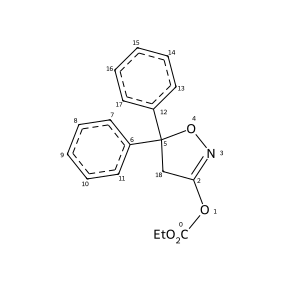 CCOC(=O)OC1=NOC(c2ccccc2)(c2ccccc2)C1